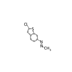 C/N=N/c1ccc2cc(Cl)sc2c1